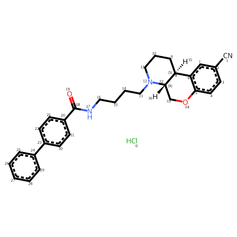 Cl.N#Cc1ccc2c(c1)[C@@H]1CCCN(CCCCNC(=O)c3ccc(-c4ccccc4)cc3)[C@H]1CO2